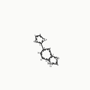 [c]1nc2cc(-c3nccs3)ccc2[nH]1